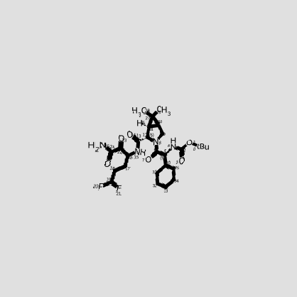 CC(C)(C)OC(=O)N[C@H](C(=O)N1CC2[C@@H]([C@H]1C(=O)NC(CCC(F)F)C(=O)C(N)=O)C2(C)C)C1CCCCC1